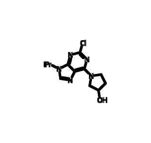 CC(C)n1cnc2c(N3CCC(O)C3)nc(Cl)nc21